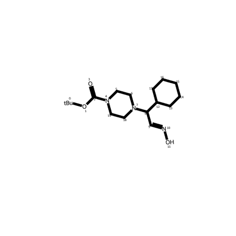 CC(C)(C)OC(=O)N1CCN(C(C=NO)C2CCCCC2)CC1